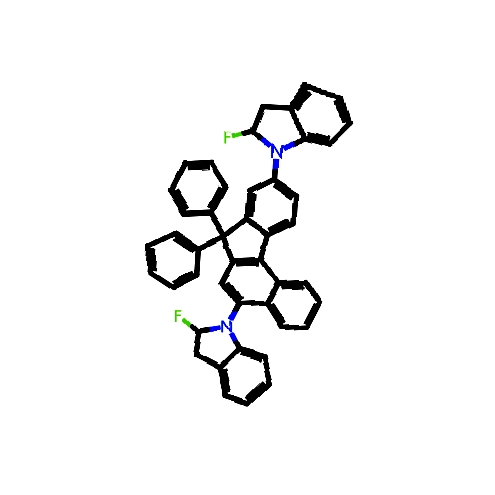 FC1Cc2ccccc2N1c1ccc2c(c1)C(c1ccccc1)(c1ccccc1)c1cc(N3c4ccccc4CC3F)c3ccccc3c1-2